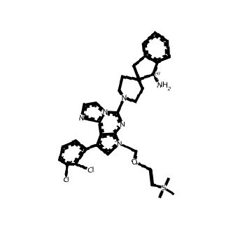 C[Si](C)(C)CCOCn1cc(-c2cccc(Cl)c2Cl)c2c1nc(N1CCC3(CC1)Cc1ccccc1[C@H]3N)n1ccnc21